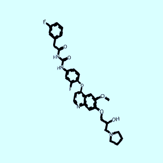 COc1cc2c(Oc3ccc(NC(=O)NC(=O)Cc4cccc(F)c4)cc3F)ccnc2cc1OCC(O)CN1CCCC1